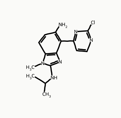 CC(C)Nc1nc2c(-c3ccnc(Cl)n3)c(N)ccc2n1C